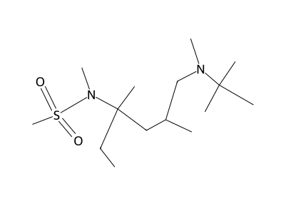 CCC(C)(CC(C)CN(C)C(C)(C)C)N(C)S(C)(=O)=O